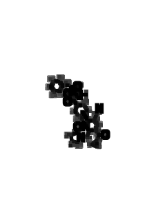 N#Cc1cc(C(=O)C2CC2)c(CN2CCCC2=O)nc1N1CCC(C(=O)NS(=O)(=O)Cc2ccccc2)CC1